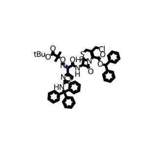 CC(C)(C)OC(=O)C(C)(C)O/N=C(\C(=O)NC1C(=O)N2C(C(=O)OC(c3ccccc3)c3ccccc3)=C(CCl)CS[C@H]12)c1csc(NC(c2ccccc2)(c2ccccc2)c2ccccc2)n1